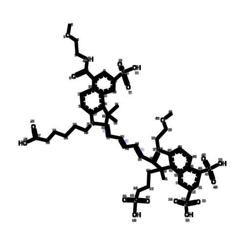 COCCNC(=O)c1cc(S(=O)(=O)O)cc2c3c(ccc12)N(CCCCCC(=O)O)/C(=C/C=C/C=C/C1=[N+](CCOC)c2ccc4c(S(=O)(=O)O)cc(S(=O)(=O)O)cc4c2C1(C)CCCS(=O)(=O)O)C3(C)C